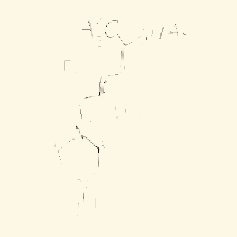 CC(=O)N/C(C)=C/C(=C(\C)CN1CCN(C)CC1)C(F)(F)F